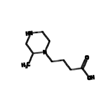 CC1CNCCN1CCCC(=O)O